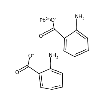 Nc1ccccc1C(=O)[O-].Nc1ccccc1C(=O)[O-].[Pb+2]